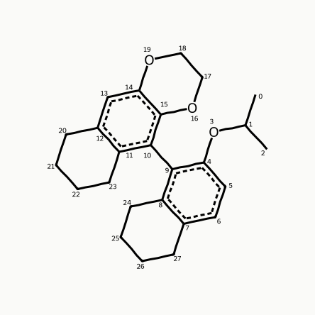 CC(C)Oc1ccc2c(c1-c1c3c(cc4c1OCCO4)CCCC3)CCCC2